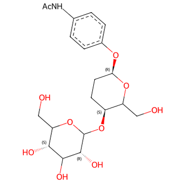 CC(=O)Nc1ccc(O[C@@H]2CC[C@H](OC3OC(CO)[C@@H](O)C(O)[C@H]3O)C(CO)O2)cc1